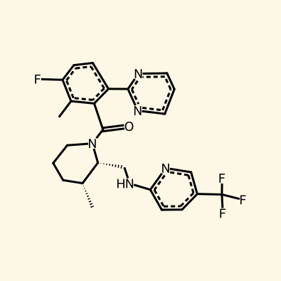 Cc1c(F)ccc(-c2ncccn2)c1C(=O)N1CCC[C@@H](C)[C@H]1CNc1ccc(C(F)(F)F)cn1